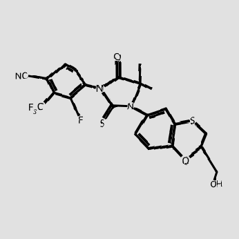 CC1(C)C(=O)N(c2ccc(C#N)c(C(F)(F)F)c2F)C(=S)N1c1ccc2c(c1)SCC(CO)O2